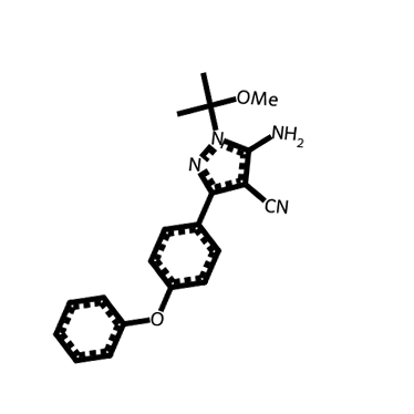 COC(C)(C)n1nc(-c2ccc(Oc3ccccc3)cc2)c(C#N)c1N